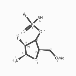 B[C@@H]1O[C@H](COC)C(OP(=S)(S)CC)[C@@H]1F